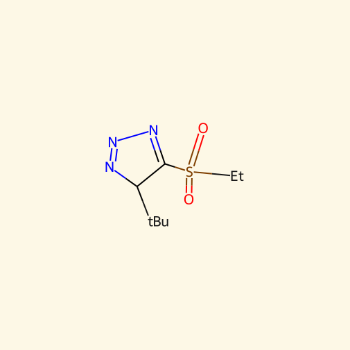 CCS(=O)(=O)C1=NN=NC1C(C)(C)C